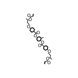 C=CC(=O)OC(C)CCOc1ccc(C(=O)Oc2ccc(OC(=O)c3ccc(OCCC(C)OC(=O)C=C)cc3)c(C)c2)cc1